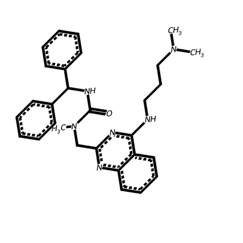 CN(C)CCCNc1nc(CN(C)C(=O)NC(c2ccccc2)c2ccccc2)nc2ccccc12